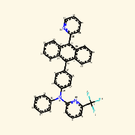 FC(F)(F)c1cccc(N(c2ccccc2)c2ccc(-c3c4ccccc4c(-c4ccccn4)c4ccccc34)cc2)n1